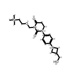 C[Si](C)(C)CCOCN1C(=O)CCN(c2ccc(N3CC(CO)C3)cc2)C1=O